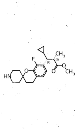 COC(=O)[C@@H](C)[C@H](c1ccc2c(c1F)OC1(CCNCC1)CC2)C1CC1